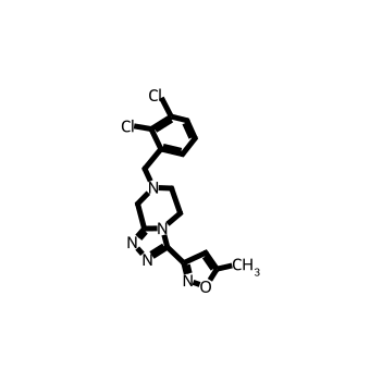 Cc1cc(-c2nnc3n2CCN(Cc2cccc(Cl)c2Cl)C3)no1